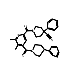 Cc1nc(C(=O)N2CCC(C#N)(c3ccccc3)CC2)cc(C(=O)N2CCC(c3ccccc3)CC2)c1C